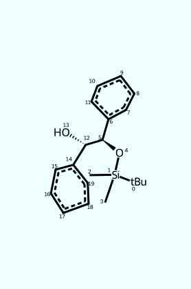 CC(C)(C)[Si](C)(C)O[C@H](c1ccccc1)[C@@H](O)c1ccccc1